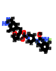 Cc1cc(CC(OC(=O)N2CCC(N3Cc4cccc(F)c4NC3=O)CC2)c2ccco2)cc2cn[nH]c12